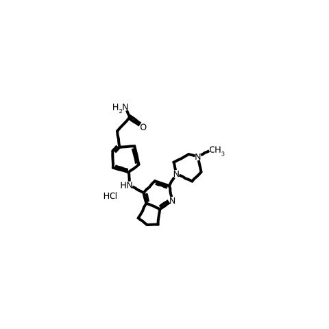 CN1CCN(c2cc(Nc3ccc(CC(N)=O)cc3)c3c(n2)CCC3)CC1.Cl